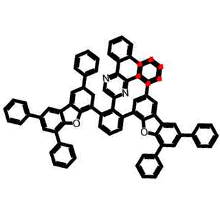 C1=c2c(oc3c(-c4ccccc4)cc(-c4ccccc4)cc23)=C(c2cccc(-c3cc(-c4ccccc4)cc4c3oc3c(-c5ccccc5)cc(-c5ccccc5)cc34)c2-c2cnc3c4ccccc4c4ccccc4c3n2)CC1c1ccccc1